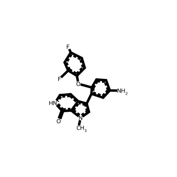 Cn1cc(-c2cc(N)ccc2Oc2ccc(F)cc2F)c2cc[nH]c(=O)c21